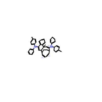 CC1=CCC(N(C2=CCCC=C2)/C2=C/C3(C)c4ccccc4C(N(c4ccccc4)c4ccc(C)cc4)=CC3C3/C=C\C=C/C2CC3)C=C1